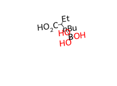 CCCCC(CC)C(=O)O.OB(O)O